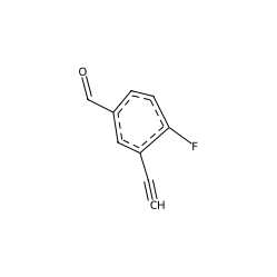 C#Cc1cc(C=O)ccc1F